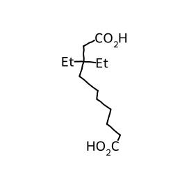 CCC(CC)(CCCCCCC(=O)O)CC(=O)O